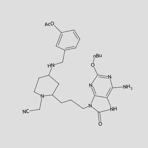 CCCCOc1nc(N)c2[nH]c(=O)n(CCCC3CC(NCc4cccc(OC(C)=O)c4)CCN3CC#N)c2n1